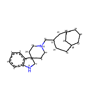 c1ccc2c(c1)NCC21CCN(CC2CCC3CCCC(C3)C2)CC1